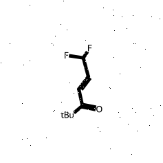 CC(C)(C)C(=O)/C=C/C(F)F